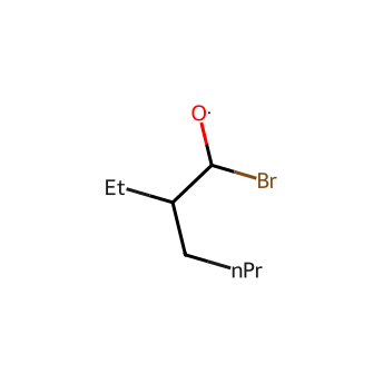 CCCCC(CC)C([O])Br